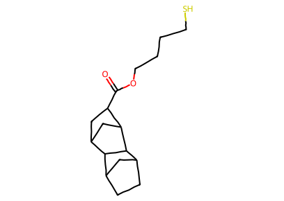 O=C(OCCCCS)C1CC2CC1C1C3CCC(C3)C21